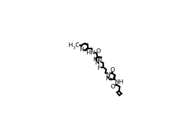 Cc1ccc(CNC(=O)c2cn(CC(F)CCn3ncc(NC(=O)CC4CCC4)cc3=O)nn2)cn1